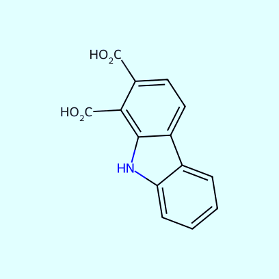 O=C(O)c1ccc2c([nH]c3ccccc32)c1C(=O)O